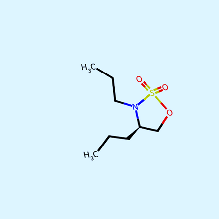 CCC[C@@H]1COS(=O)(=O)N1CCC